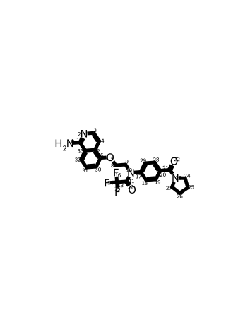 Nc1nccc2c(OCCN(C(=O)C(F)(F)F)c3ccc(C(=O)N4CCCC4)cc3)cccc12